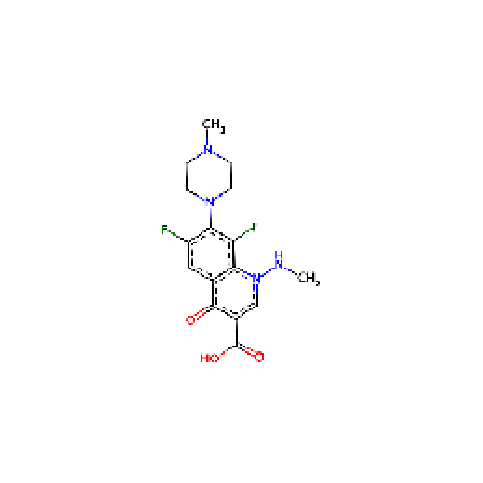 CNn1cc(C(=O)O)c(=O)c2cc(F)c(N3CCN(C)CC3)c(F)c21